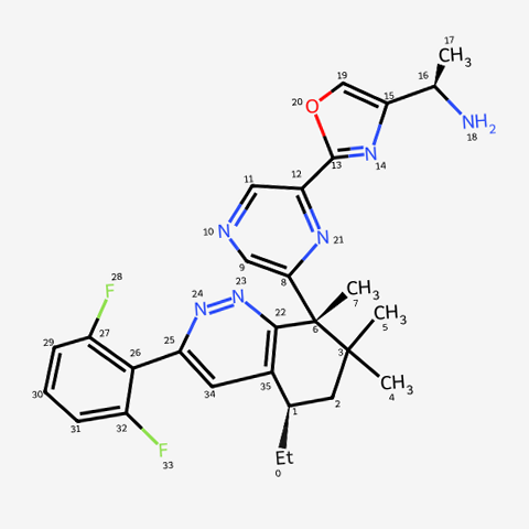 CC[C@@H]1CC(C)(C)[C@@](C)(c2cncc(-c3nc([C@@H](C)N)co3)n2)c2nnc(-c3c(F)cccc3F)cc21